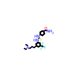 CCN(CC)CCCc1cc(NC(=S)Nc2ccc(C(N)=O)cc2)cc(C(F)(F)F)c1